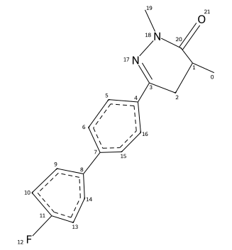 CC1CC(c2ccc(-c3ccc(F)cc3)cc2)=NN(C)C1=O